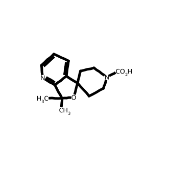 CC1(C)OC2(CCN(C(=O)O)CC2)c2cccnc21